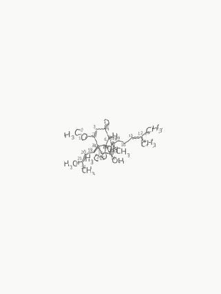 COC1=CC(=O)[C@@H]2[C@](C)(CCC=C(C)C)[C@@H](O)C[C@@]1(CC=C(C)C)[C@@]2(O)OC